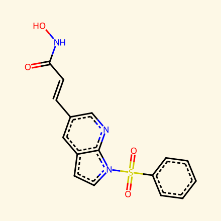 O=C(/C=C/c1cnc2c(ccn2S(=O)(=O)c2ccccc2)c1)NO